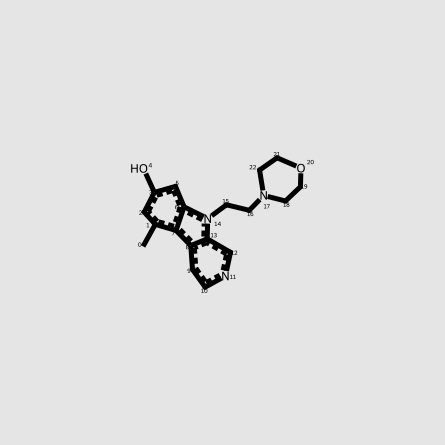 Cc1cc(O)cc2c1c1ccncc1n2CCN1CCOCC1